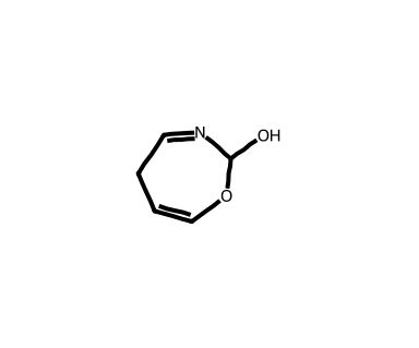 OC1N=CCC=CO1